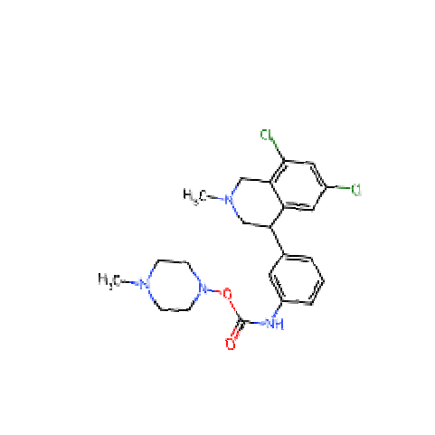 CN1CCN(OC(=O)Nc2cccc(C3CN(C)Cc4c(Cl)cc(Cl)cc43)c2)CC1